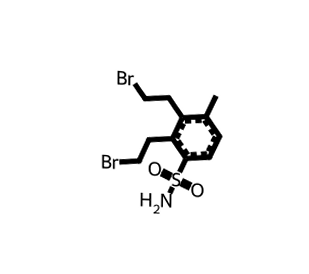 Cc1ccc(S(N)(=O)=O)c(CCBr)c1CCBr